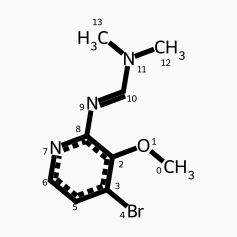 COc1c(Br)ccnc1N=CN(C)C